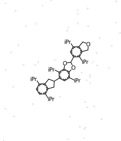 CC(C)c1ccc(C(C)C)c2c1CC(c1cc(C(C)C)c3c(c1C(C)C)OC(c1cc(C(C)C)c4c(c1C(C)C)COC4)O3)C2